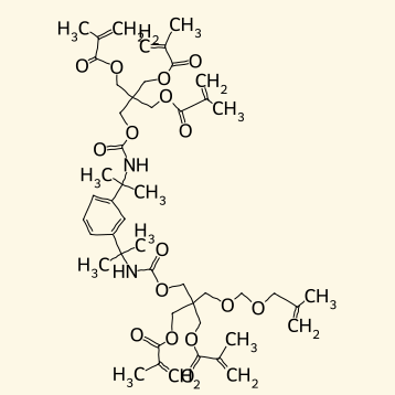 C=C(C)COCOCC(COC(=O)NC(C)(C)c1cccc(C(C)(C)NC(=O)OCC(COC(=O)C(=C)C)(COC(=O)C(=C)C)COC(=O)C(=C)C)c1)(COC(=O)C(=C)C)COC(=O)C(=C)C